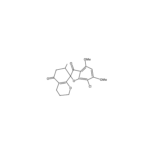 COc1cc(OC)c2c(c1Cl)OC1(C2=O)C2=C(CCCO2)C(=O)CC1C